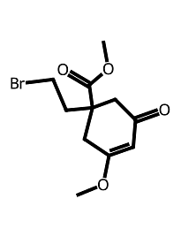 COC(=O)C1(CCBr)CC(=O)C=C(OC)C1